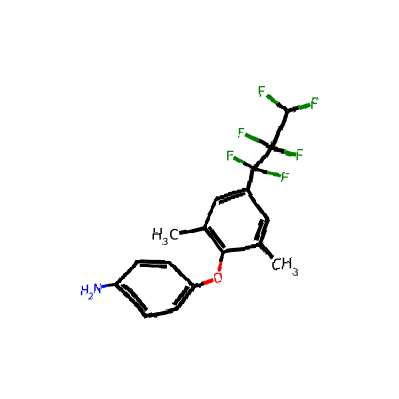 Cc1cc(C(F)(F)C(F)(F)C(F)F)cc(C)c1Oc1ccc(N)cc1